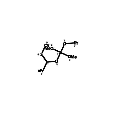 CCCC(O[Si](OC)(OC)OC(C)C)SC#N